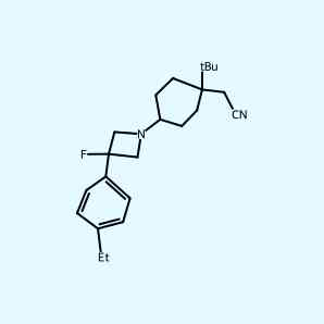 CCc1ccc(C2(F)CN(C3CCC(CC#N)(C(C)(C)C)CC3)C2)cc1